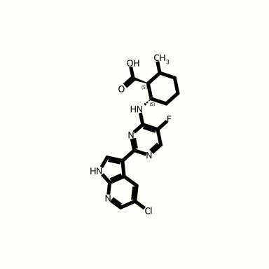 CC1CCC[C@H](Nc2nc(-c3c[nH]c4ncc(Cl)cc34)ncc2F)[C@H]1C(=O)O